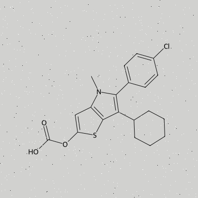 Cn1c(-c2ccc(Cl)cc2)c(C2CCCCC2)c2sc(OC(=O)O)cc21